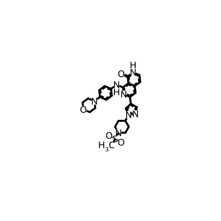 CS(=O)(=O)N1CCC(n2cc(-c3cc4cc[nH]c(=O)c4c(Nc4ccc(N5CCOCC5)cc4)n3)cn2)CC1